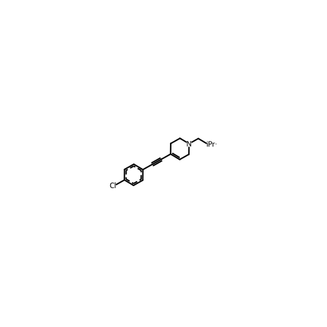 C[C](C)CN1CC=C(C#Cc2ccc(Cl)cc2)CC1